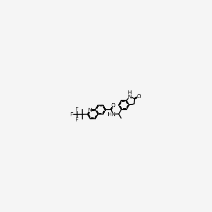 CC(NC(=O)c1ccc2nc(C(C)(C)C(F)(F)F)ccc2c1)c1ccc2c(c1)CC(=O)N2